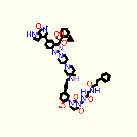 COc1ccc(C#CCNC2(C)CCN(C3CCN(c4nc([C@@](CO)(OC5CC5)c5ccccc5)c5cc(-c6cn(C)c(=O)c7[nH]ccc67)ccc5n4)CC3)CC2)cc1N1CCC(=O)N(CNC(=O)CNC(=O)CCc2ccccc2)C1=O